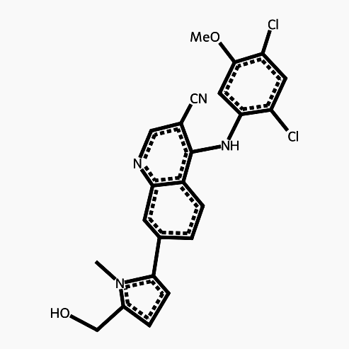 COc1cc(Nc2c(C#N)cnc3cc(-c4ccc(CO)n4C)ccc23)c(Cl)cc1Cl